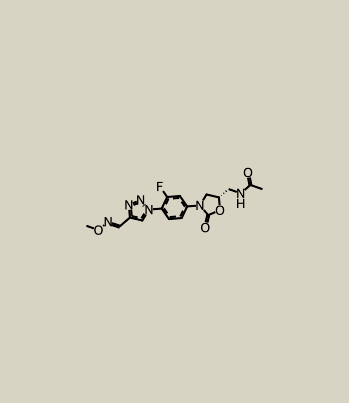 CO/N=C/c1cn(-c2ccc(N3C[C@H](CNC(C)=O)OC3=O)cc2F)nn1